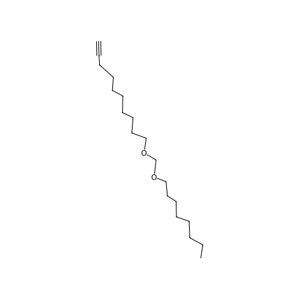 C#CCCCCCCCCOCOCCCCCCCC